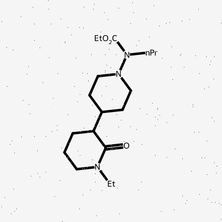 CCCN(C(=O)OCC)N1CCC(C2CCCN(CC)C2=O)CC1